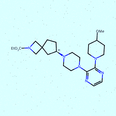 CCOC(=O)N1CC2(CC[C@@H](N3CCN(c4nccnc4N4CCC(OC)CC4)CC3)C2)C1